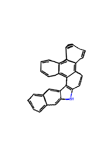 c1ccc2cc3c(cc2c1)[nH]c1ccc2c4ccccc4c4ccccc4c2c13